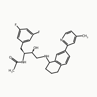 CC(=O)N[C@@H](Cc1cc(F)cc(F)c1)[C@@H](O)CNC1CCCc2ccc(-c3cc(C)ccn3)cc21